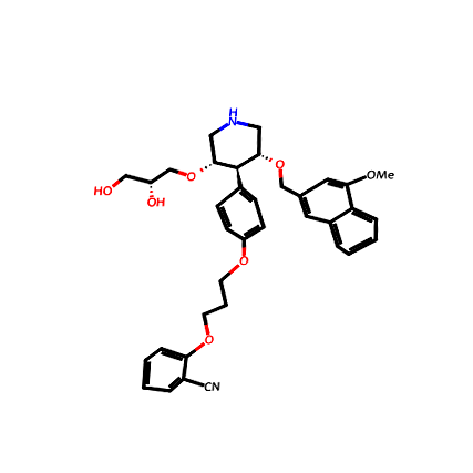 COc1cc(CO[C@H]2CNC[C@@H](OC[C@H](O)CO)[C@@H]2c2ccc(OCCCOc3ccccc3C#N)cc2)cc2ccccc12